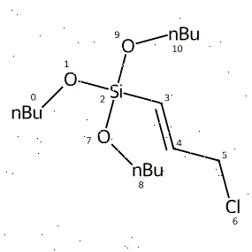 CCCCO[Si](C=CCCl)(OCCCC)OCCCC